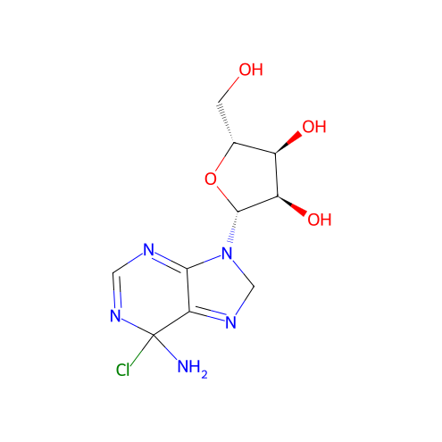 NC1(Cl)N=CN=C2C1=NCN2[C@@H]1O[C@H](CO)[C@@H](O)[C@H]1O